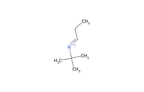 CC/C=N/C(C)(C)C